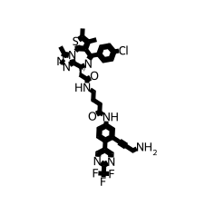 Cc1sc2c(c1C)C(c1ccc(Cl)cc1)=N[C@@H](CC(=O)NCCCC(=O)Nc1ccc(-c3cnc(C(F)(F)F)nc3)c(C#CCN)c1)c1nnc(C)n1-2